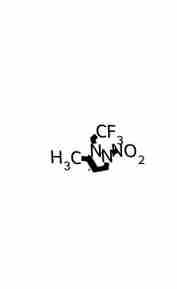 CC1=[C]CN([N+](=O)[O-])N1CC(F)(F)F